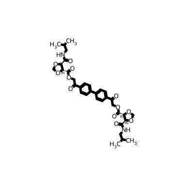 CC(C)CNC(=O)[C@@H]1OCO[C@H]1C(=O)OCC(=O)c1ccc(-c2ccc(C(=O)COC(=O)[C@@H]3OCO[C@H]3C(=O)NCC(C)C)cc2)cc1